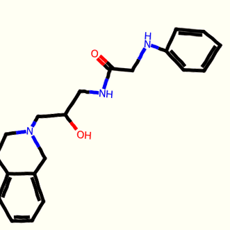 O=C(CNc1ccccc1)NCC(O)CN1CCc2ccccc2C1